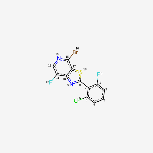 Fc1cccc(Cl)c1-c1nc2c(F)cnc(Br)c2s1